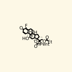 CCCCCC(=O)O[C@]1(C(=O)COC(=O)CC)[C@@H](C)C[C@H]2[C@@H]3CCC4=C(F)C(=O)C=C[C@]4(C)[C@@]3(F)[C@@H](O)C[C@@]21C